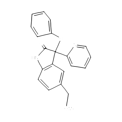 COCc1ccc2c(c1)C(Oc1ccccc1)(c1ccccn1)C(=O)N2